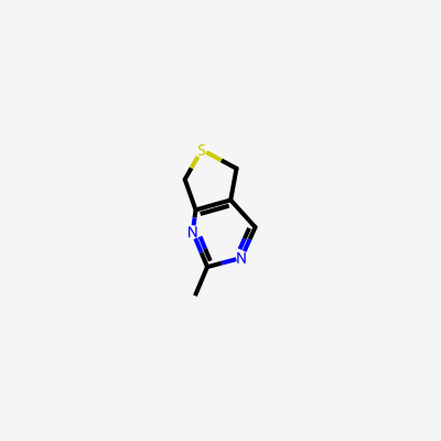 Cc1ncc2c(n1)CSC2